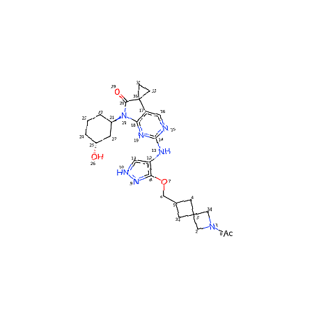 CC(=O)N1CC2(CC(COc3n[nH]cc3Nc3ncc4c(n3)N([C@@H]3CCC[C@@H](O)C3)C(=O)C43CC3)C2)C1